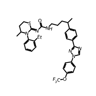 CCc1ccccc1N1/C(=N/C(=O)NCCCC(C)c2ccc(-c3ncn(-c4ccc(OC(F)(F)F)cc4)n3)cc2)SCCC1C